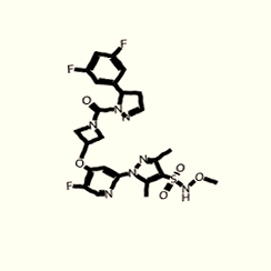 CONS(=O)(=O)c1c(C)nn(-c2cc(OC3CN(C(=O)N4N=CCC4c4cc(F)cc(F)c4)C3)c(F)cn2)c1C